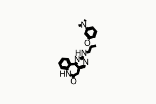 CC(CNc1ncc2c(n1)-c1ccccc1NC(=O)C2)Oc1cccc(N(C)C)c1